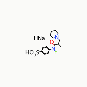 CC(CN1CCCCC1)C(=O)N(F)c1ccc(S(=O)(=O)O)cc1.[NaH]